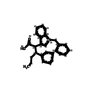 CCCN(c1ccccc1)C(C(=O)O)c1cn(Cc2ccccc2)c2ccccc12